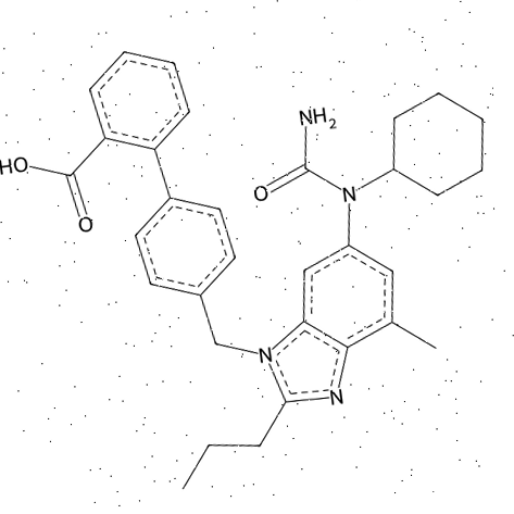 CCCc1nc2c(C)cc(N(C(N)=O)C3CCCCC3)cc2n1Cc1ccc(-c2ccccc2C(=O)O)cc1